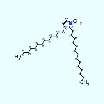 CCCCCCCCCCCCCCc1n(C)cc[n+]1CCCCCCCCCCCCC